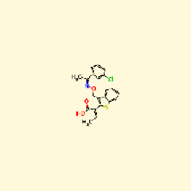 CC=C(C(=O)O)c1sc2ccccc2c1CON=C(C)c1cccc(Cl)c1